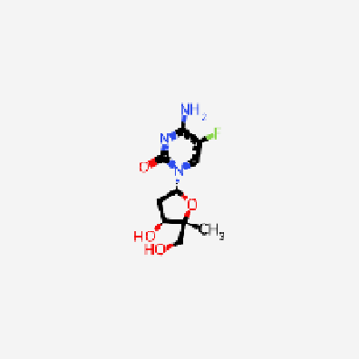 C[C@]1(CO)O[C@@H](n2cc(F)c(N)nc2=O)C[C@@H]1O